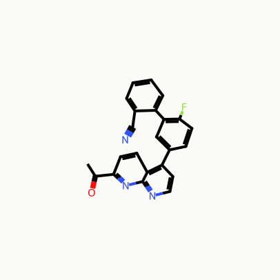 CC(=O)c1ccc2c(-c3ccc(F)c(-c4ccccc4C#N)c3)ccnc2n1